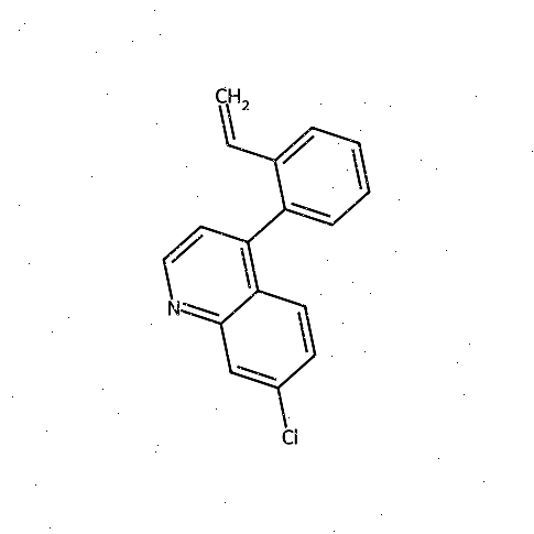 C=Cc1ccccc1-c1ccnc2cc(Cl)ccc12